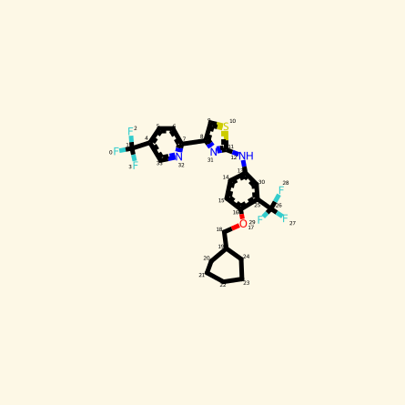 FC(F)(F)c1ccc(-c2csc(Nc3ccc(OCC4CCCCC4)c(C(F)(F)F)c3)n2)nc1